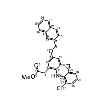 COC(=O)Cc1cc(OCc2ccc3ccccc3n2)ccc1Nc1c(Cl)cccc1Cl